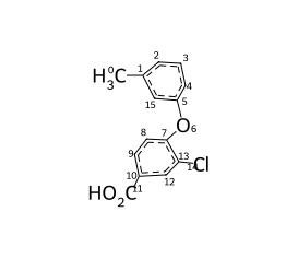 Cc1cccc(Oc2ccc(C(=O)O)cc2Cl)c1